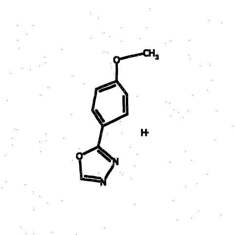 COc1ccc(-c2nnco2)cc1.[H]